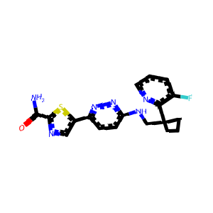 NC(=O)c1ncc(-c2ccc(NCC3(c4ncccc4F)CCC3)nn2)s1